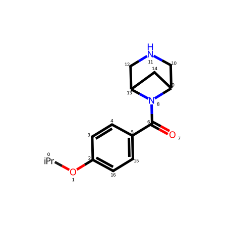 CC(C)Oc1ccc(C(=O)N2C3CNCC2C3)cc1